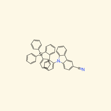 N#Cc1ccc2c(c1)c1ccccc1n2-c1ccccc1-c1ccccc1[Si](c1ccccc1)(c1ccccc1)c1ccccc1